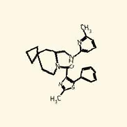 Cc1cccc(NCC2CC3(CCC3)CCN2C(=O)c2nc(C)sc2-c2ccccc2)n1